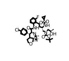 C[C@@H](O)CN(C[C@H](CCc1c(F)cccc1NC(=O)[C@@H](N=[N+]=[N-])[C@@H](c1ccc(Cl)cc1)C1CCOCC1)NS(=O)(=O)C1CC1)C(=O)OC(C)(C)C